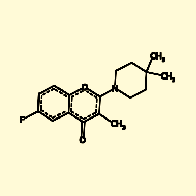 Cc1c(N2CCC(C)(C)CC2)oc2ccc(F)cc2c1=O